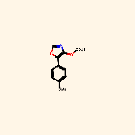 COc1ccc(-c2ocnc2OC(=O)O)cc1